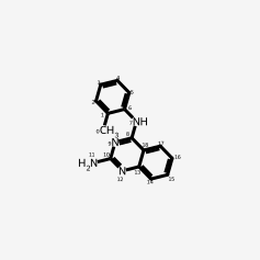 Cc1ccccc1Nc1nc(N)nc2ccccc12